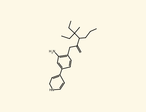 C=C(Cc1ccc(C2=CCNC=C2)cc1N)C(CCC)C(C)(CC)CC